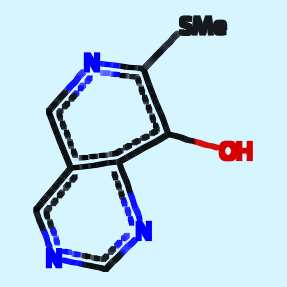 CSc1ncc2cncnc2c1O